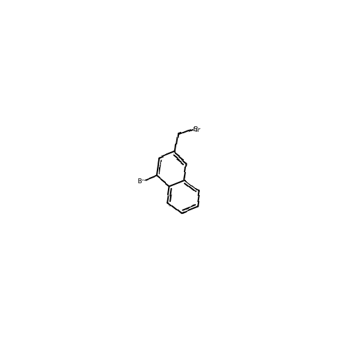 BrCc1cc(Br)c2ccccc2c1